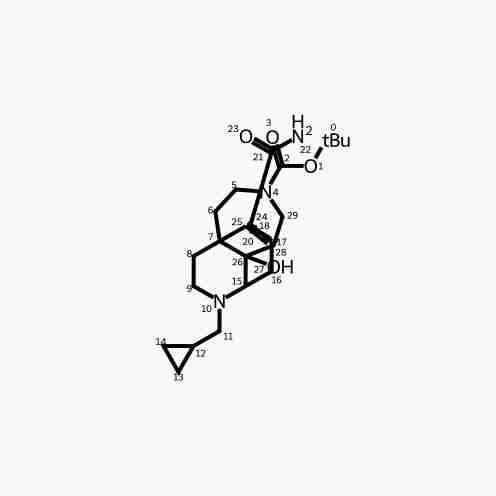 CC(C)(C)OC(=O)N1CCC23CCN(CC4CC4)C(Cc4ccc(C(N)=O)cc42)C3(O)CC1